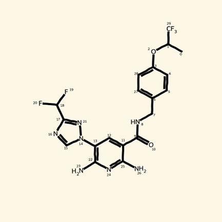 CC(Oc1ccc(CNC(=O)c2cc(-n3cnc(C(F)F)n3)c(N)nc2N)cc1)C(F)(F)F